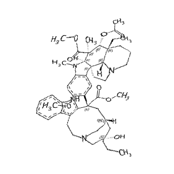 CC[C@]1(O)C[C@@H]2CN(CCc3c([nH]c4ccccc34)[C@@](C(=O)OC)(c3cc4c(cc3OC)N(C)[C@H]3[C@@](C)(C(=O)OC)[C@H](OC(C)=O)[C@]5(CC)CCCN6CC[C@]43[C@@H]65)C2)C1